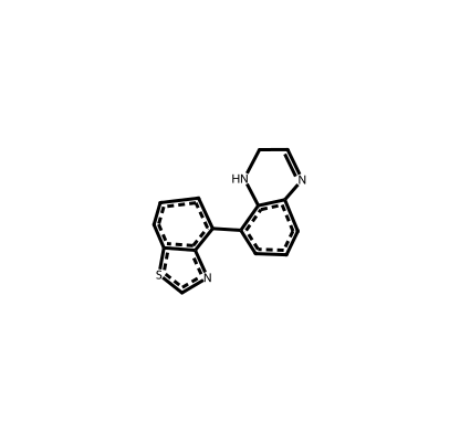 C1=Nc2cccc(-c3cccc4scnc34)c2NC1